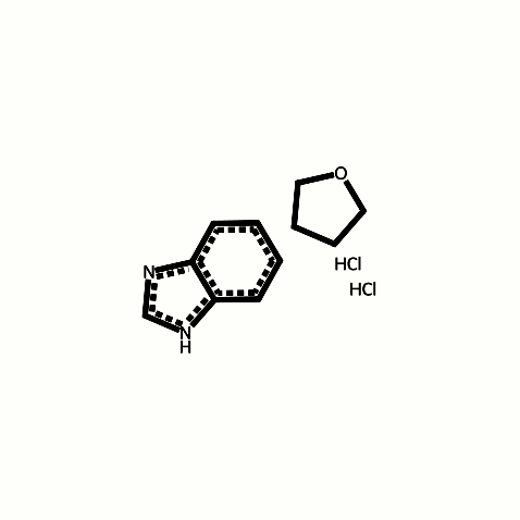 C1CCOC1.Cl.Cl.c1ccc2[nH]cnc2c1